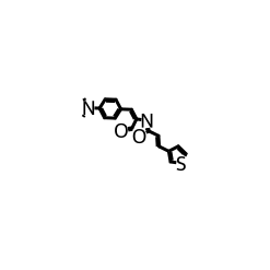 CN(C)c1ccc(C=C2N=C(C=Cc3ccsc3)OC2=O)cc1